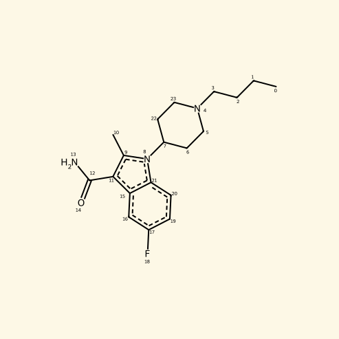 CCCCN1CCC(n2c(C)c(C(N)=O)c3cc(F)ccc32)CC1